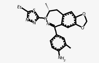 CCc1nnc(N2N=C(c3ccc(N)c(C)c3)c3cc4c(cc3C[C@H]2C)OCO4)s1